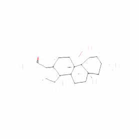 C[C@H](O)[C@H]1C[C@@H](O)[C@@H]2[C@@H]3CC[C@H]4C[C@@H](O)CC[C@]4(CO)[C@H]3CC[C@@]21C